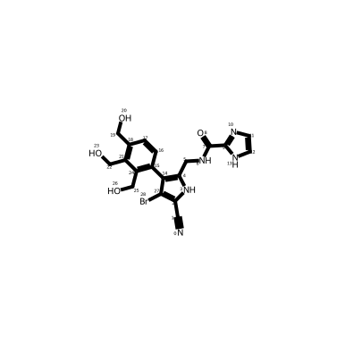 N#Cc1[nH]c(CNC(=O)c2ncc[nH]2)c(-c2ccc(CO)c(CO)c2CO)c1Br